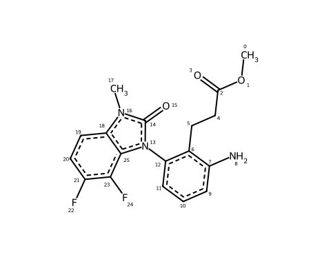 COC(=O)CCc1c(N)cccc1-n1c(=O)n(C)c2ccc(F)c(F)c21